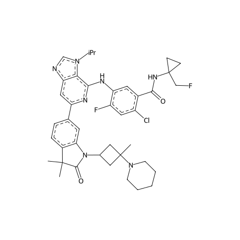 CC(C)n1cnc2cc(-c3ccc4c(c3)N(C3CC(C)(N5CCCCC5)C3)C(=O)C4(C)C)nc(Nc3cc(C(=O)NC4(CF)CC4)c(Cl)cc3F)c21